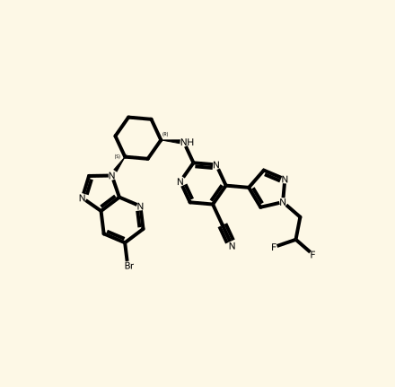 N#Cc1cnc(N[C@@H]2CCC[C@H](n3cnc4cc(Br)cnc43)C2)nc1-c1cnn(CC(F)F)c1